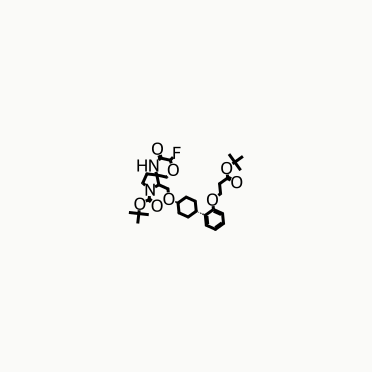 CC(C)(C)OC(=O)CCOc1ccccc1[C@H]1CC[C@@H](OCC2N(C(=O)OC(C)(C)C)CCC23COC(F)C(=O)N3)CC1